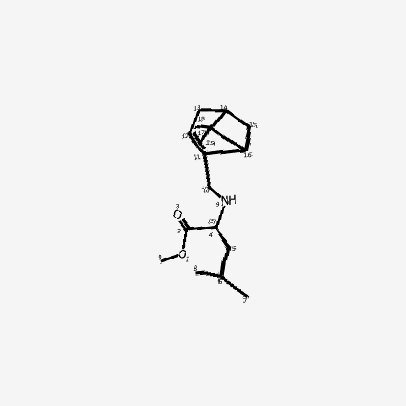 COC(=O)[C@H](CC(C)C)NCC1=CCC2CC1C2(C)C